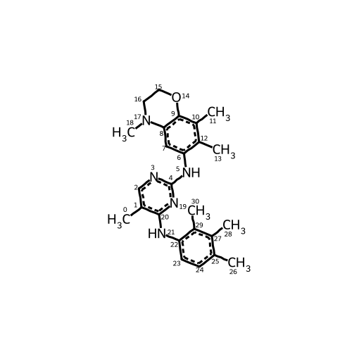 Cc1cnc(Nc2cc3c(c(C)c2C)OCCN3C)nc1Nc1ccc(C)c(C)c1C